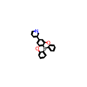 c1cncc(-c2cc3c4c(c2)Oc2ccccc2B4c2ccccc2O3)c1